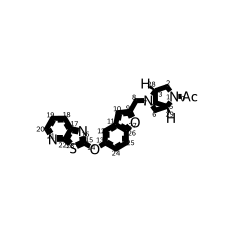 CC(=O)N1C[C@@H]2C[C@H]1CN2Cc1cc2cc(Oc3nc4cccnc4s3)ccc2o1